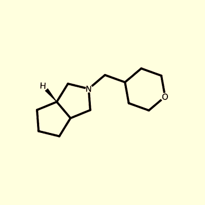 C1CC2CN(CC3CCOCC3)C[C@H]2C1